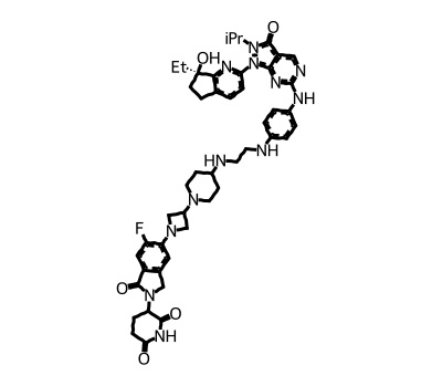 CC[C@@]1(O)CCc2ccc(-n3c4nc(Nc5ccc(NCCNC6CCN(C7CN(c8cc9c(cc8F)C(=O)N(C8CCC(=O)NC8=O)C9)C7)CC6)cc5)ncc4c(=O)n3C(C)C)nc21